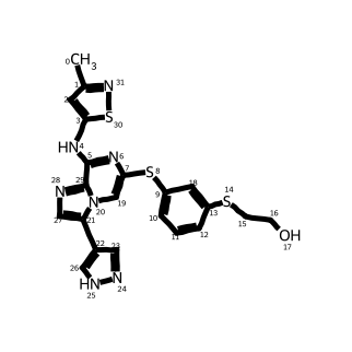 Cc1cc(Nc2nc(Sc3cccc(SCCO)c3)cn3c(-c4cn[nH]c4)cnc23)sn1